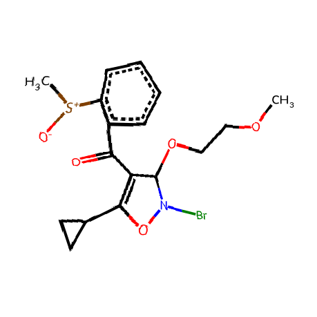 COCCOC1C(C(=O)c2ccccc2[S+](C)[O-])=C(C2CC2)ON1Br